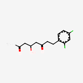 COC(=O)CC(O)CC(=O)CCc1ccc(Cl)cc1Cl